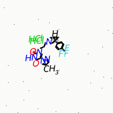 Cc1cnn(-c2cn(CCCN3C[C@@H]4C[C@]4(c4ccc(C(F)(F)F)cc4)C3)c(=O)[nH]c2=O)c1.Cl.Cl